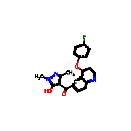 Cc1nn(C)c(O)c1C(=O)c1ccc2nccc(Oc3ccc(F)cc3)c2c1